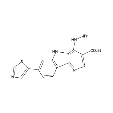 CCOC(=O)c1cnc2c([nH]c3cc(-c4cncs4)ccc32)c1NC(C)C